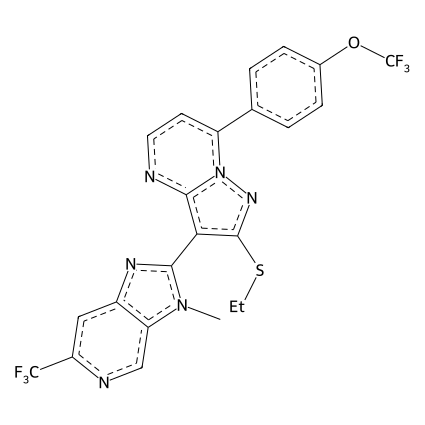 CCSc1nn2c(-c3ccc(OC(F)(F)F)cc3)ccnc2c1-c1nc2cc(C(F)(F)F)ncc2n1C